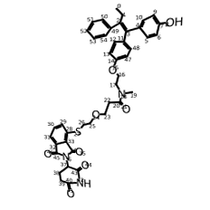 CCC(=C(c1ccc(O)cc1)c1ccc(OCCN(C)C(=O)CCOCCSc2cccc3c2C(=O)N(C2CCC(=O)NC2=O)C3=O)cc1)c1ccccc1